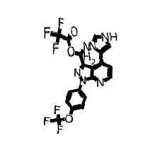 NC(OC(=O)C(F)(F)F)c1nn(-c2ccc(OC(F)(F)F)cc2)c2nccc(-c3c[nH]cn3)c12